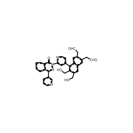 O=CCc1cc2cc(CO)c(CO)c(-c3ccnc(-n4nc(-c5cccnc5)c5ccccc5c4=O)c3)c2cc1CC=O